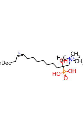 CCCCCCCCCCC/C=C\CCCCCCCC(O)(C[N+](C)(C)C)P(=O)(O)O